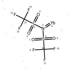 O=S(=O)([N+](=[Yb])S(=O)(=O)C(F)(F)F)C(F)(F)F